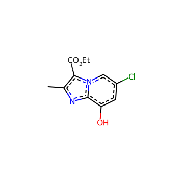 CCOC(=O)c1c(C)nc2c(O)cc(Cl)cn12